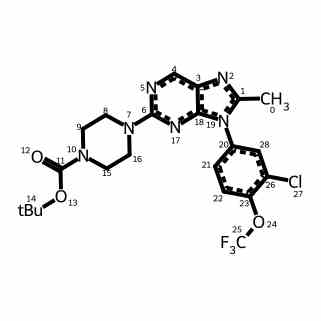 Cc1nc2cnc(N3CCN(C(=O)OC(C)(C)C)CC3)nc2n1-c1ccc(OC(F)(F)F)c(Cl)c1